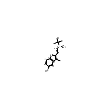 Cc1c(C=N[S@+]([O-])C(C)(C)C)oc2ccc(F)cc12